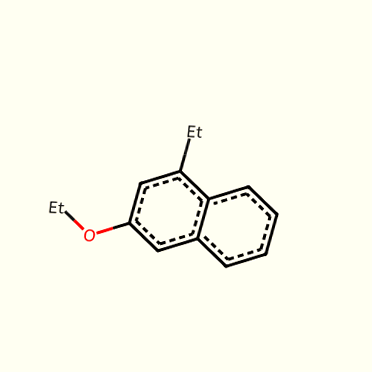 [CH2]Cc1cc(OCC)cc2ccccc12